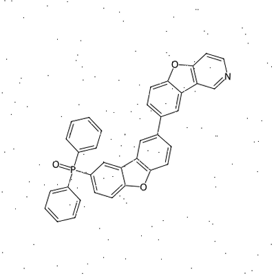 O=P(c1ccccc1)(c1ccccc1)c1ccc2oc3ccc(-c4ccc5oc6ccncc6c5c4)cc3c2c1